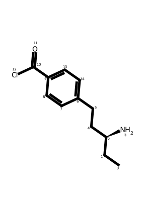 CC[C@H](N)CCc1ccc(C(=O)Cl)cc1